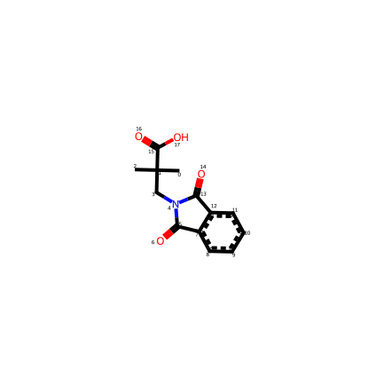 CC(C)(CN1C(=O)c2ccccc2C1=O)C(=O)O